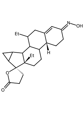 CCC1CC2=C/C(=N/O)CC[C@@H]2C2CC[C@@]3(CC)C(C4CC4[C@@]34CCC(=O)O4)C12